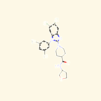 CCc1cc(CC)cc(-n2c(N3CCC(C(=O)NC4CCOC4)CC3)nc3cc(Cl)c(Cl)cc32)c1